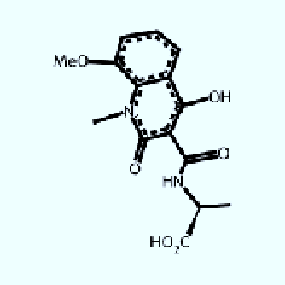 COc1cccc2c(O)c(C(=O)N[C@@H](C)C(=O)O)c(=O)n(C)c12